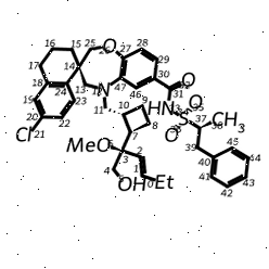 CC/C=C/[C@@](CO)(OC)[C@@H]1CC[C@H]1CN1C[C@@]2(CCCc3cc(Cl)ccc32)COc2ccc(C(=O)NS(=O)(=O)[C@@H](C)Cc3ccccc3)cc21